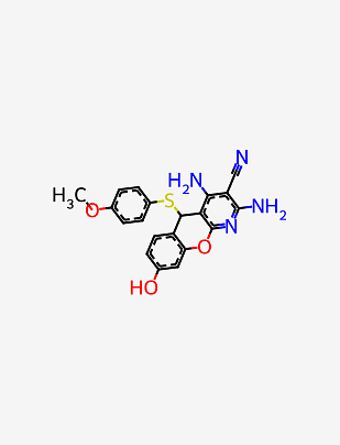 COc1ccc(SC2c3ccc(O)cc3Oc3nc(N)c(C#N)c(N)c32)cc1